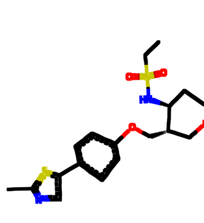 CCS(=O)(=O)N[C@H]1CCOC[C@@H]1COc1ccc(-c2cnc(C)s2)cc1